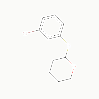 Brc1cccc(SC2CCCCO2)c1